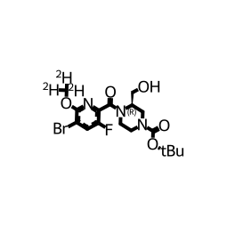 [2H]C([2H])([2H])Oc1nc(C(=O)N2CCN(C(=O)OC(C)(C)C)C[C@@H]2CO)c(F)cc1Br